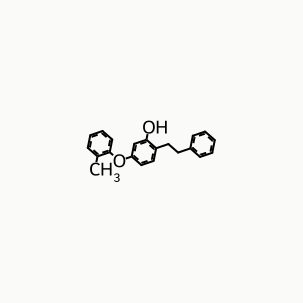 Cc1ccccc1Oc1ccc(CCc2ccccc2)c(O)c1